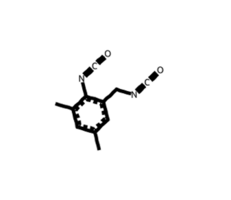 Cc1cc(C)c(N=C=O)c(CN=C=O)c1